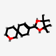 CC1(C)OB(C2=CCC3(CCCOC3)CC2)OC1(C)C